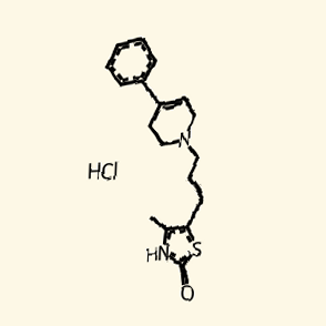 Cc1[nH]c(=O)sc1CCCN1CC=C(c2ccccc2)CC1.Cl